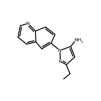 CCc1cc(N)n(-c2ccc3ncccc3c2)n1